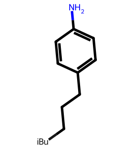 CCC(C)CCCc1ccc(N)cc1